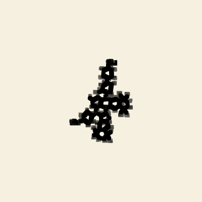 Cc1cc2c3c(c1)N(c1ccc(C(C)(C)C)cc1)c1c(sc4cc5c(cc14)C(C)(C)CCC5(C)C)B3c1cc3c(cc1N2c1ccc(-c2ccc(C(C)(C)C)cc2)cc1C)C(C)(C)CCC3(C)C